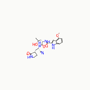 COc1cccc2[nH]c(C(=O)N[C@@H](CC(C)O)C(=O)N[C@H](C#N)C[C@@H]3CCNC3=O)cc12